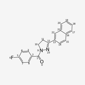 O=C(c1ccc(F)cc1)N1CCC(c2ccc3ccccc3c2)=N1